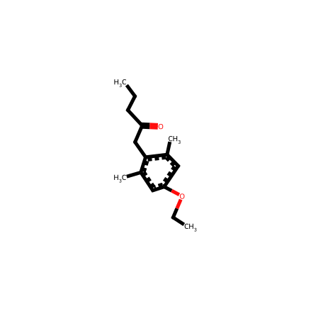 CCCC(=O)Cc1c(C)cc(OCC)cc1C